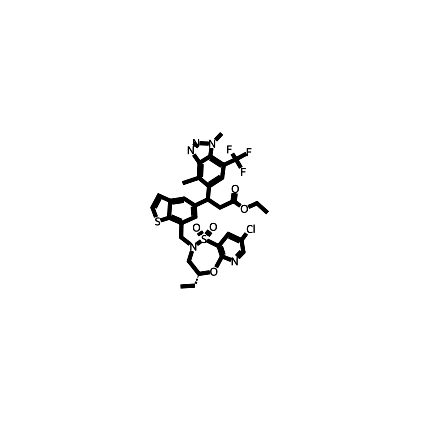 CCOC(=O)CC(c1cc(CN2C[C@@H](CC)Oc3ncc(Cl)cc3S2(=O)=O)c2sccc2c1)c1cc(C(F)(F)F)c2c(nnn2C)c1C